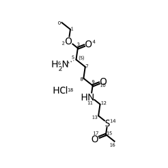 CCOC(=O)[C@@H](N)CCC(=O)NCCSC(C)=O.Cl